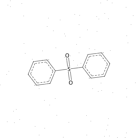 O=S(=O)(c1[c]cc[c]c1)c1[c]cc[c]c1